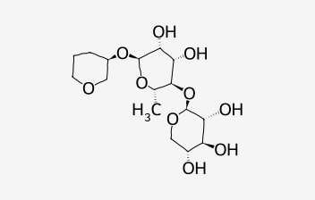 C[C@@H]1O[C@@H](O[C@@H]2CCCOC2)[C@H](O)[C@H](O)[C@H]1O[C@@H]1OC[C@@H](O)[C@H](O)[C@H]1O